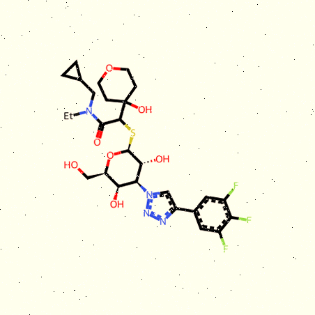 CCN(CC1CC1)C(=O)C(S[C@@H]1O[C@H](CO)[C@H](O)[C@H](n2cc(-c3cc(F)c(F)c(F)c3)nn2)[C@H]1O)C1(O)CCOCC1